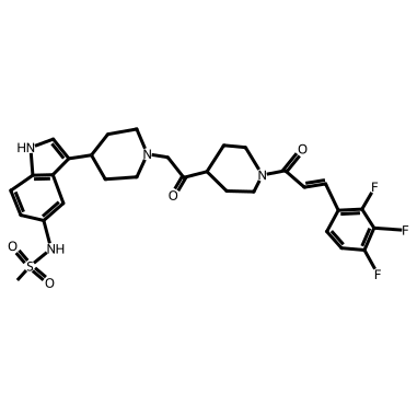 CS(=O)(=O)Nc1ccc2[nH]cc(C3CCN(CC(=O)C4CCN(C(=O)C=Cc5ccc(F)c(F)c5F)CC4)CC3)c2c1